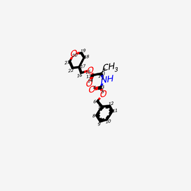 C[C@H](NC(=O)OCc1ccccc1)C(=O)OCC1CCOCC1